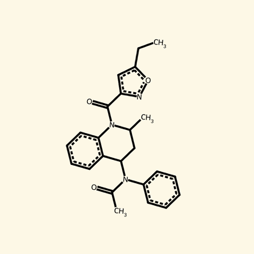 CCc1cc(C(=O)N2c3ccccc3C(N(C(C)=O)c3ccccc3)CC2C)no1